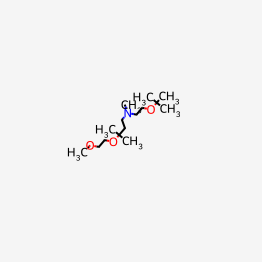 COCCOC(C)(C)CCN(C)CCOC(C)(C)C